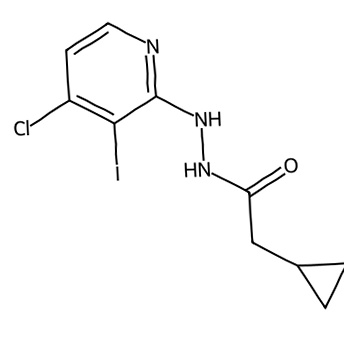 O=C(CC1CC1)NNc1nccc(Cl)c1I